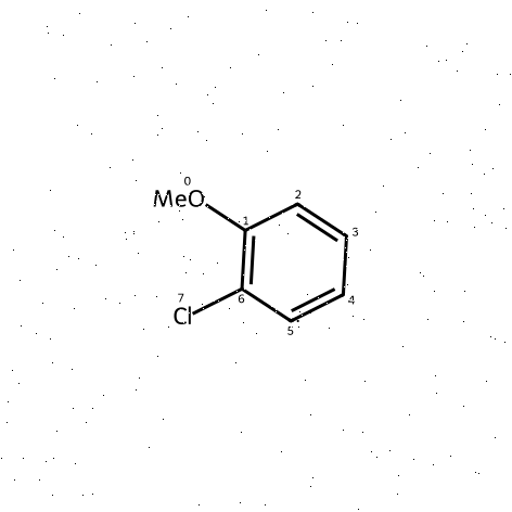 COc1ccc[c]c1Cl